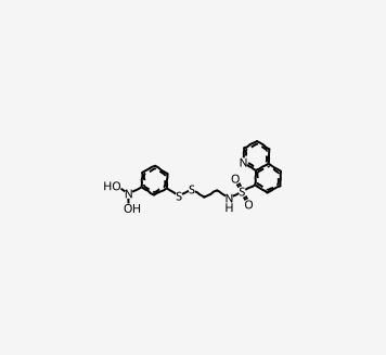 O=S(=O)(NCCSSc1cccc(N(O)O)c1)c1cccc2cccnc12